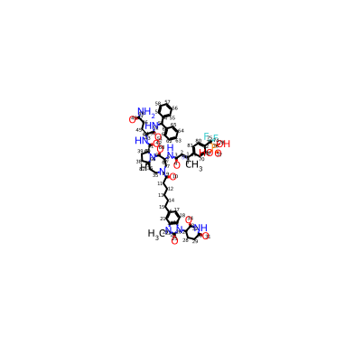 C/C(=C\C(=O)N[C@H]1CN(C(=O)CCCCCc2ccc3c(c2)n(C)c(=O)n3C2CCC(=O)NC2=O)CC[C@H]2CC[C@@H](C(=O)N[C@@H](CCC(N)=O)C(=O)NC(c3ccccc3)c3ccccc3)N2C1=O)c1ccc(C(F)(F)P(=O)(O)O)cc1